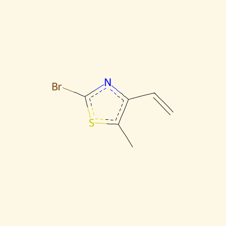 C=Cc1nc(Br)sc1C